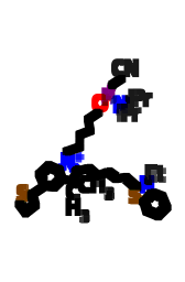 CCN1/C(=C/C=C/C=C/C2=[N+](CCCCCCOP(CCC#N)N(C(C)C)C(C)C)c3ccc(-c4cccs4)cc3C2(C)C)Sc2ccccc21